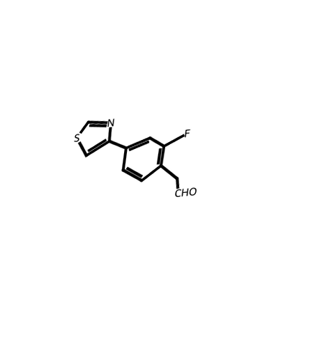 O=CCc1ccc(-c2cscn2)cc1F